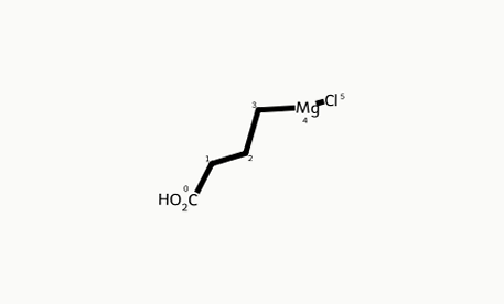 O=C(O)CC[CH2][Mg][Cl]